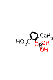 O=C(O)c1ccccc1OB(O)O.[CaH2]